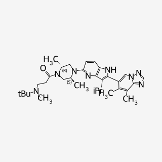 Cc1c(-c2[nH]c3ccc(N4C[C@@H](C)N(C(=O)CCN(C)C(C)(C)C)C[C@@H]4C)nc3c2C(C)C)cn2ncnc2c1C